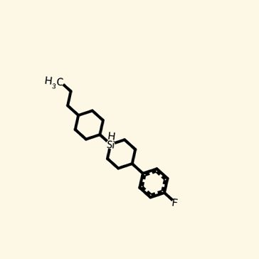 CCCC1CCC([SiH]2CCC(c3ccc(F)cc3)CC2)CC1